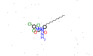 CCCCCCCCCCCCc1ccc(N(C(N)=O)c2cc(=O)n(-c3c(Cl)cc(Cl)cc3Cl)[nH]2)cc1